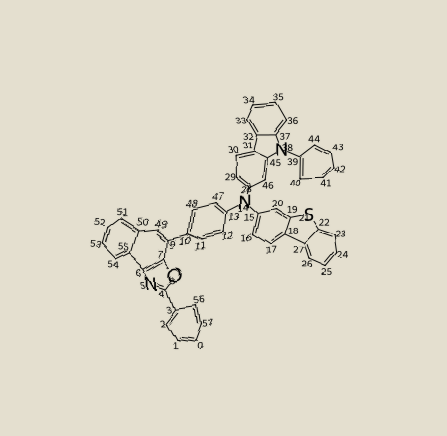 c1ccc(-c2nc3c(o2)c(-c2ccc(N(c4ccc5c(c4)sc4ccccc45)c4ccc5c6ccccc6n(-c6ccccc6)c5c4)cc2)cc2ccccc23)cc1